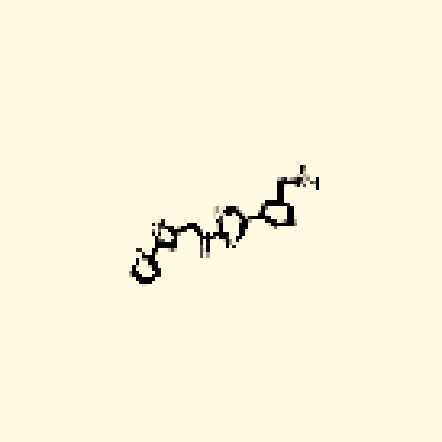 CNCc1cccc(-c2cnc(NCc3cc(-c4ccco4)on3)nc2)c1